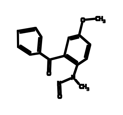 COc1ccc(N(C)N=O)c(C(=O)c2ccccc2)c1